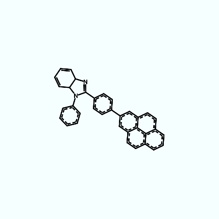 C1=CC2N=C(c3ccc(-c4cc5ccc6cccc7ccc(c4)c5c67)cc3)N(c3ccccc3)C2C=C1